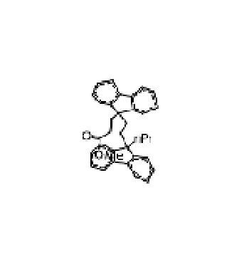 CCCC1(CCC2(CCC(=O)OC)c3ccccc3-c3ccccc32)c2ccccc2-c2ccccc21